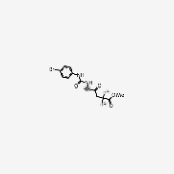 CCCC(CCC)(CC(=O)NNC(=O)Nc1ccc(Br)cc1)C(=O)OC